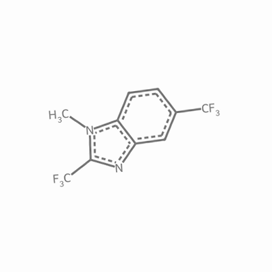 Cn1c(C(F)(F)F)nc2cc(C(F)(F)F)ccc21